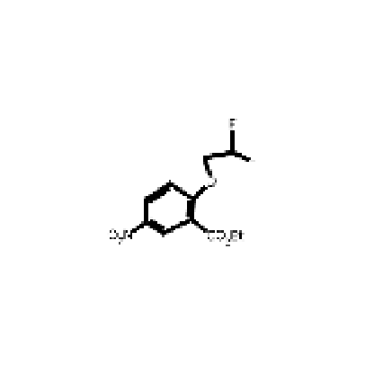 CCOC(=O)c1cc([N+](=O)[O-])ccc1OCC(F)F